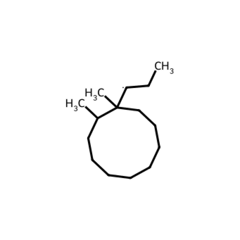 CC[CH]C1(C)CCCCCCCCC1C